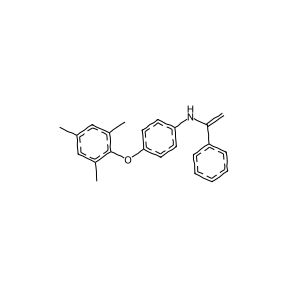 C=C(Nc1ccc(Oc2c(C)cc(C)cc2C)cc1)c1ccccc1